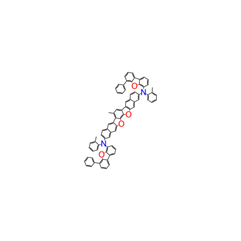 Cc1ccccc1N(c1ccc2cc3c(cc2c1)oc1c3cc(C)c2c3cc4ccc(N(c5ccccc5C)c5cccc6c5oc5c(-c7ccccc7)cccc56)cc4cc3oc12)c1cccc2c1oc1c(-c3ccccc3)cccc12